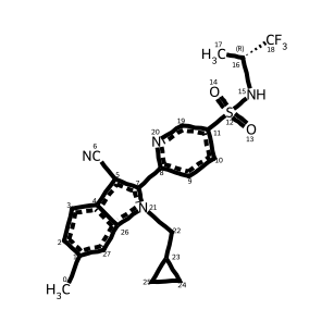 Cc1ccc2c(C#N)c(-c3ccc(S(=O)(=O)N[C@H](C)C(F)(F)F)cn3)n(CC3CC3)c2c1